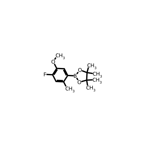 COc1cc(B2OC(C)(C)C(C)(C)O2)c(C)cc1F